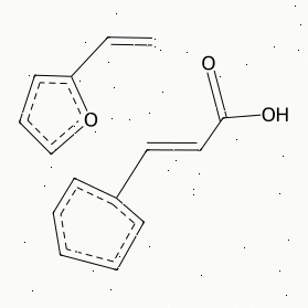 C=Cc1ccco1.O=C(O)C=Cc1ccccc1